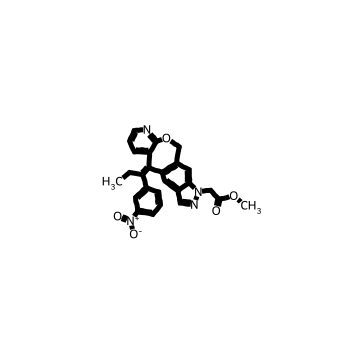 CCC(=C1c2cc3cnn(CC(=O)OC)c3cc2COc2ncccc21)c1cccc([N+](=O)[O-])c1